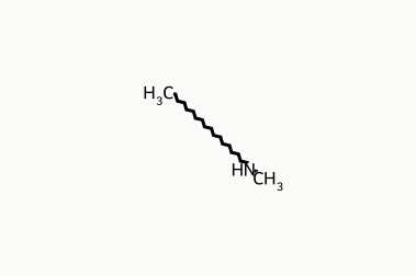 CCCCCCCCCCCCCCCCCCNCC